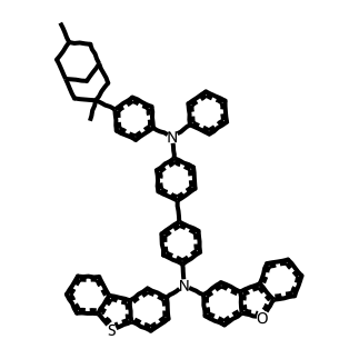 CC1CC2CC(C1)CC(C)(c1ccc(N(c3ccccc3)c3ccc(-c4ccc(N(c5ccc6oc7ccccc7c6c5)c5ccc6sc7ccccc7c6c5)cc4)cc3)cc1)C2